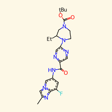 CCC1CN(C(=O)OC(C)(C)C)CCN1c1cnc(C(=O)Nc2cc(F)c3nc(C)cn3c2)cn1